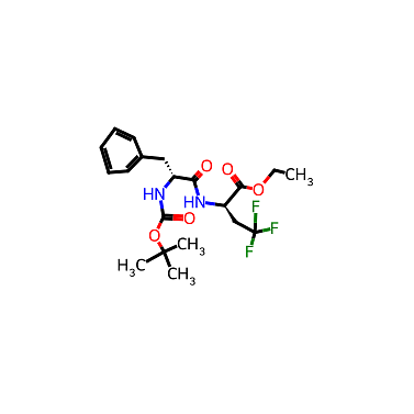 CCOC(=O)[C@@H](CC(F)(F)F)NC(=O)[C@@H](Cc1ccccc1)NC(=O)OC(C)(C)C